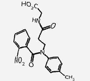 Cc1ccc(N(CCC(=O)NCC(=O)O)C(=O)c2ccccc2[N+](=O)[O-])cc1